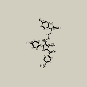 Cc1ccc(C(=O)c2nn(-c3ccc(Cl)cc3)c(NCCCn3c(=N)sc4cc(F)ccc43)c2C#N)cc1